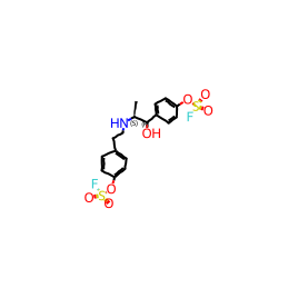 C[C@H](NCCc1ccc(OS(=O)(=O)F)cc1)[C@H](O)c1ccc(OS(=O)(=O)F)cc1